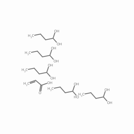 C=CC(=O)O.CCCC(O)O.CCCC(O)O.CCCC(O)O.CCCC(O)O.CCCC(O)O